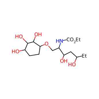 CCOC(=O)NC(COC1CCC(O)C(O)C1O)C(O)CC(O)CC